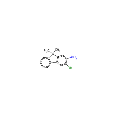 CC1(C)c2ccccc2-c2cc(Br)c(N)cc21